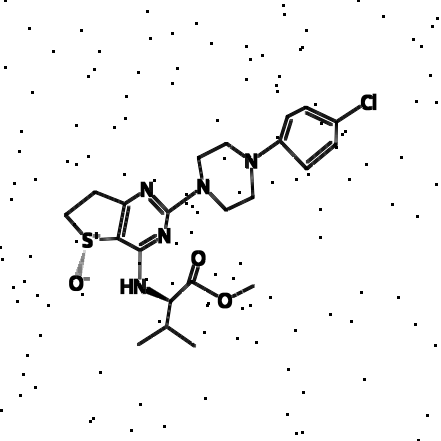 COC(=O)[C@H](Nc1nc(N2CCN(c3ccc(Cl)cc3)CC2)nc2c1[S@+]([O-])CC2)C(C)C